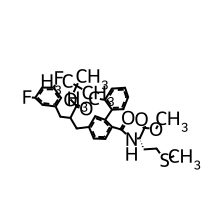 COC(=O)[C@H](CCSC)NC(=O)c1ccc(CC(Cc2cc(F)cc(F)c2)C(=O)OC(C)(C)C)cc1-c1ccccc1C